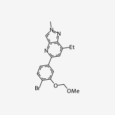 CCc1cc(-c2ccc(Br)c(OCOC)c2)nc2cn(C)nc12